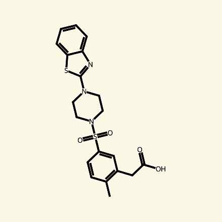 Cc1ccc(S(=O)(=O)N2CCN(c3nc4ccccc4s3)CC2)cc1CC(=O)O